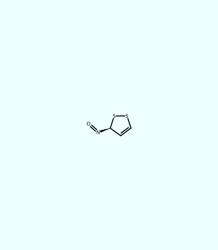 O=N[C@@H]1C=CSS1